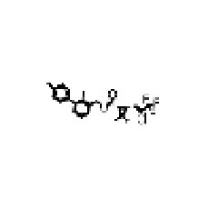 Cc1ccc(-c2cccc(COC(=O)[C@@H]3[C@H](/C=C(\Cl)C(F)(F)F)C3(C)C)c2C)cc1